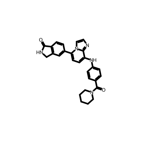 O=C1NCc2cc(-c3ccc(Nc4ccc(C(=O)N5CCCCC5)cc4)c4nccn34)ccc21